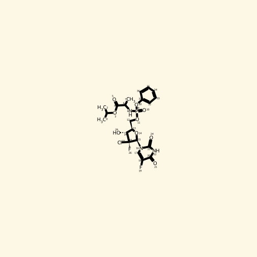 CC(C)OC(=O)C(C)NP(=O)(OC[C@H]1O[C@@H](n2cc(F)c(=O)[nH]c2=O)[C@@](F)(Cl)[C@@H]1O)Oc1ccccc1